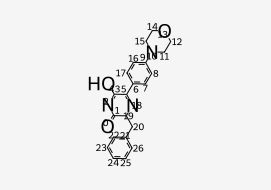 O=C1N=C(O)C(c2ccc(N3CCOCC3)cc2)=NC1Cc1ccccc1